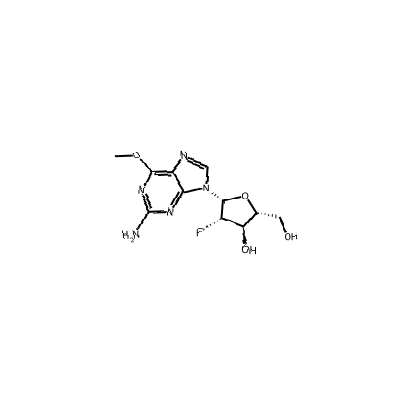 COc1nc(N)nc2c1ncn2[C@@H]1O[C@H](CO)[C@@H](O)[C@@H]1F